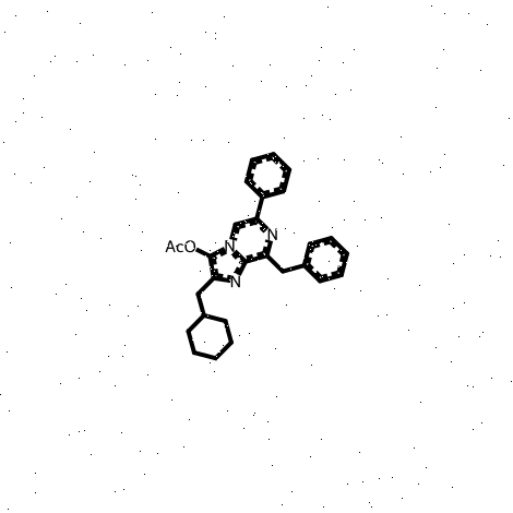 CC(=O)Oc1c(CC2CCCCC2)nc2c(Cc3ccccc3)nc(-c3ccccc3)cn12